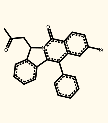 CC(=O)CC1c2ccccc2-c2c(-c3ccccc3)c3cc(Br)ccc3c(=O)n21